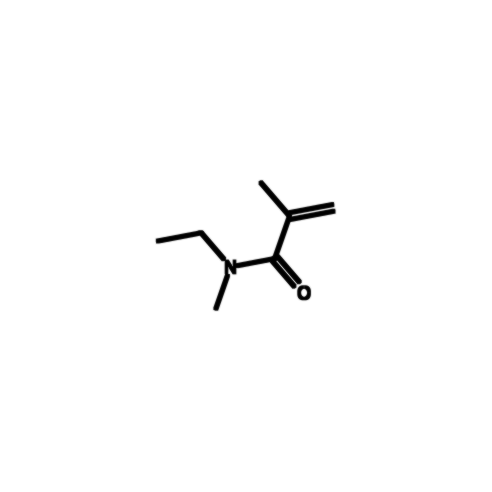 C=C(C)C(=O)N(C)CC